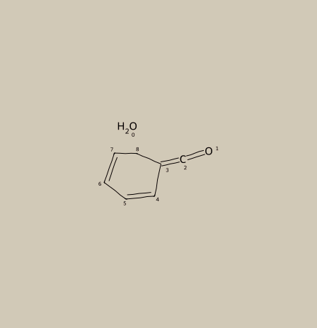 O.O=C=C1C=CC=CC1